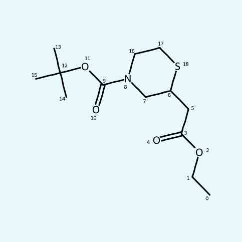 CCOC(=O)CC1CN(C(=O)OC(C)(C)C)CCS1